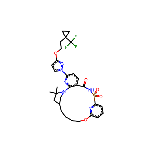 CC1(C)CC2CCCCOc3cccc(n3)S(=O)(=O)NC(=O)c3ccc(-n4ccc(OCCC5(C(F)(F)F)CC5)n4)nc3N1C2